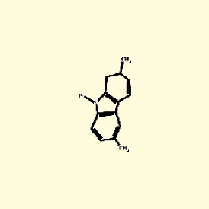 Cc1ccc2c(c1)c1c(n2C(C)C)CC(C)C=C1